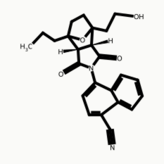 CCCC12CCC(CCO)(O1)[C@@H]1C(=O)N(c3ccc(C#N)c4ccccc34)C(=O)[C@@H]12